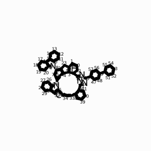 C1=CC2=C3c4cc(cc(-n5c6ccccc6c6ccccc65)c4C2)-n2c4ccccc4c4cc(ccc42)-c2ccccc2-c2nc(-c4ccc(-c5ccccc5)cc4)nc(n2)[C@H]3C1